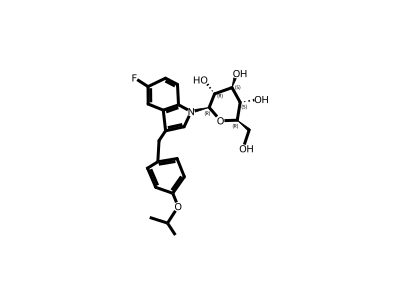 CC(C)Oc1ccc(Cc2cn([C@@H]3O[C@H](CO)[C@@H](O)[C@H](O)[C@H]3O)c3ccc(F)cc23)cc1